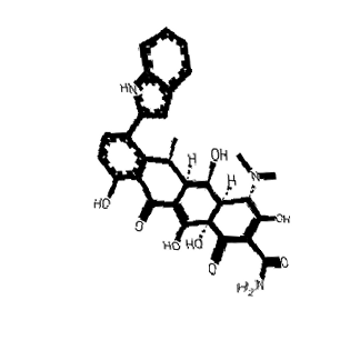 C[C@@H]1c2c(-c3cc4ccccc4[nH]3)ccc(O)c2C(=O)C2=C(O)[C@]3(O)C(=O)C(C(N)=O)=C(O)[C@@H](N(C)C)[C@@H]3[C@H](O)[C@@H]21